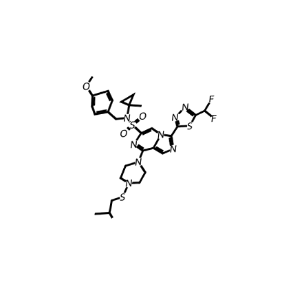 COc1ccc(CN(C2(C)CC2)S(=O)(=O)c2cn3c(-c4nnc(C(F)F)s4)ncc3c(N3CCN(SCC(C)C)CC3)n2)cc1